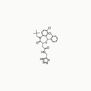 CC(C)(C)CN1C(=O)C(CC(=O)NCc2nnn[nH]2)SC(c2ccccc2Cl)c2cc(Cl)ccc21